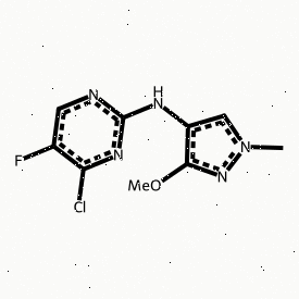 COc1nn(C)cc1Nc1ncc(F)c(Cl)n1